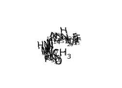 CC1COCCN1c1nc(N/N=C/c2ccc(Nc3cccc(C(F)(F)F)c3)cn2)ncc1F